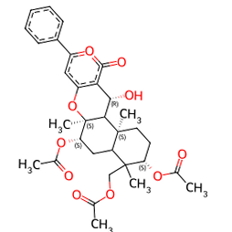 CC(=O)OCC1(C)C2C[C@H](OC(C)=O)[C@@]3(C)Oc4cc(-c5ccccc5)oc(=O)c4[C@H](O)C3[C@@]2(C)CC[C@@H]1OC(C)=O